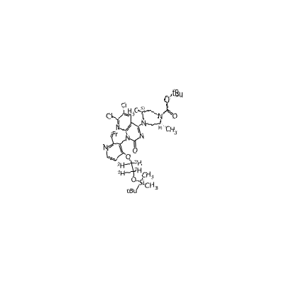 [2H]C([2H])(Oc1ccnc(C(C)C)c1-n1c(=O)nc(N2C[C@@H](C)N(C(=O)OC(C)(C)C)C[C@@H]2C)c2cc(Cl)c(Cl)nc21)C([2H])([2H])O[Si](C)(C)C(C)(C)C